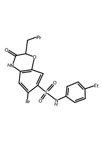 CCc1ccc(NS(=O)(=O)c2cc3c(cc2Br)NC(=O)C(CC(C)C)O3)cc1